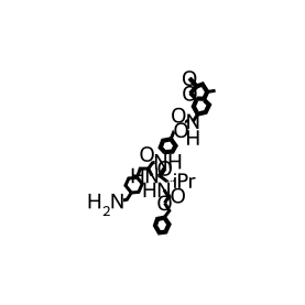 Cc1cc(=O)oc2cc(NC(=O)OCc3ccc(NC(=O)C(CC4CCC(CN)CC4)NC(=O)[C@@H](NC(=O)OCc4ccccc4)C(C)C)cc3)ccc12